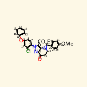 CCOC(=O)c1c2c(nn1-c1ccc(Oc3ccccc3)cc1Cl)C(=O)CCN2Cc1ccc(OC)cc1